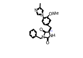 COc1cc(/C=C2/NC(=O)N(Cc3ccccc3)C2=O)ccc1-n1cnc(C)c1